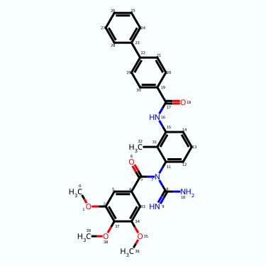 COc1cc(C(=O)N(C(=N)N)c2cccc(NC(=O)c3ccc(-c4ccccc4)cc3)c2C)cc(OC)c1OC